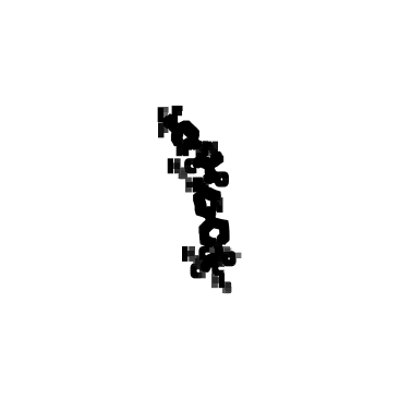 Cc1c(C(=O)Nc2ccc(C3CCN([S+]([O-])C(C)(C)Cl)CC3)nc2)cnn1-c1ccc(C(F)(F)F)cn1